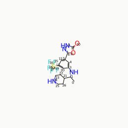 CC(Nc1cc(-c2n[nH]c(=O)o2)cc(S(F)(F)(F)(F)F)c1)C1CCNCC1